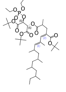 CCOP(=O)(OCC)O[C@H](C(=O)OC(C)(C)C)[C@H](OC(=O)C(C)C/C(=C/C(C)=C/C(C)CC(C)CC(C)CC(C)CC)C(=O)OC(C)(C)C)C(=O)OC(C)(C)C